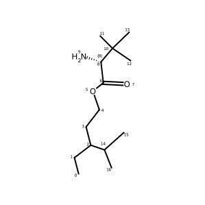 CCC(CCOC(=O)[C@H](N)C(C)(C)C)C(C)C